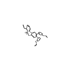 C=CCOc1cc2c(cc1OCC=C)-c1cccc(C=C)c1N(C)C2